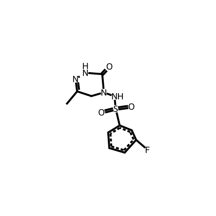 CC1=NNC(=O)N(NS(=O)(=O)c2cccc(F)c2)C1